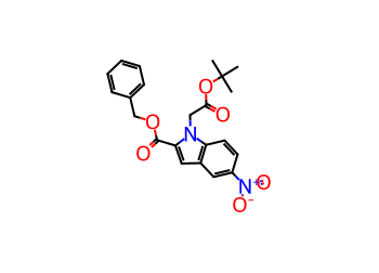 CC(C)(C)OC(=O)Cn1c(C(=O)OCc2ccccc2)cc2cc([N+](=O)[O-])ccc21